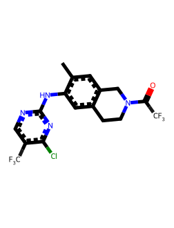 Cc1cc2c(cc1Nc1ncc(C(F)(F)F)c(Cl)n1)CCN(C(=O)C(F)(F)F)C2